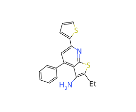 CCc1sc2nc(-c3cccs3)cc(-c3ccccc3)c2c1N